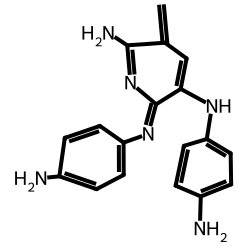 C=C1C=C(Nc2ccc(N)cc2)C(=Nc2ccc(N)cc2)N=C1N